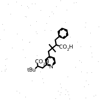 CC(C)(C)C(Cc1cc(CC(C)(C)C(Cc2ccccc2)C(=O)O)ccn1)C(=O)O